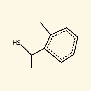 Cc1ccccc1C(C)S